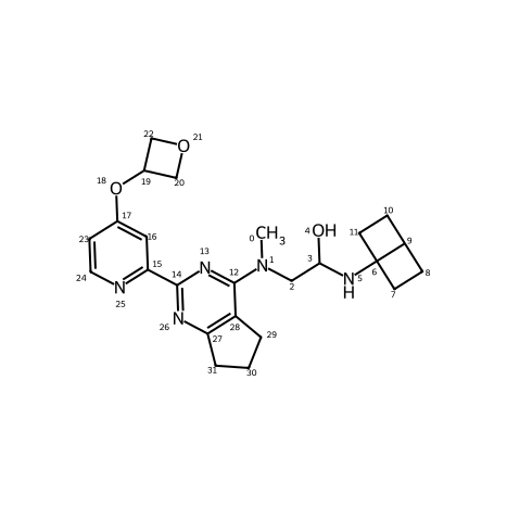 CN(CC(O)NC12CCC1CC2)c1nc(-c2cc(OC3COC3)ccn2)nc2c1CCC2